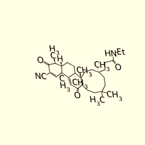 CCNC(=O)CC[C@@]1(C)CCC(C)(C)CCC2C(=O)C=C3[C@@]4(C)C=C(C#N)C(=O)[C@@H](C)[C@@H]4CC[C@@]3(C)[C@]2(C)CC1